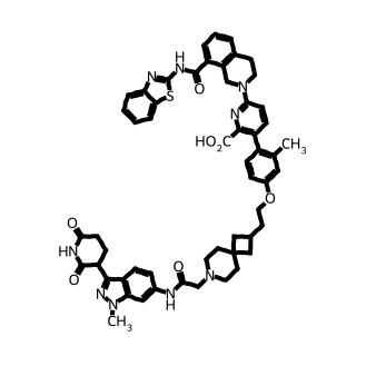 Cc1cc(OCCC2CC3(CCN(CC(=O)Nc4ccc5c(C6CCC(=O)NC6=O)nn(C)c5c4)CC3)C2)ccc1-c1ccc(N2CCc3cccc(C(=O)Nc4nc5ccccc5s4)c3C2)nc1C(=O)O